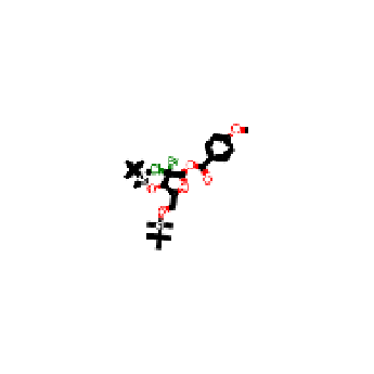 COc1ccc(C(=O)OC2OC(CO[Si](C)(C)C(C)(C)C)C(O[Si](C)(C)C(C)(C)C)C2(Cl)Br)cc1